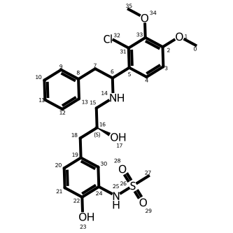 COc1ccc(C(Cc2ccccc2)NC[C@@H](O)Cc2ccc(O)c(NS(C)(=O)=O)c2)c(Cl)c1OC